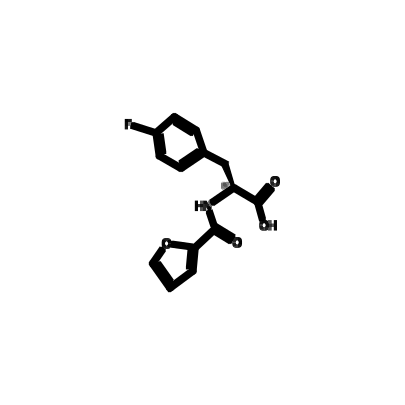 O=C(N[C@@H](Cc1ccc(F)cc1)C(=O)O)c1ccco1